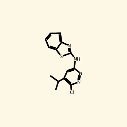 CC(C)c1cc(Nc2nc3ccccc3s2)nnc1Cl